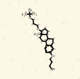 CC(C)CCCOc1ccc2c(c1)CCC1C2CCC2(C)C(OCCCOC(C(F)(F)F)(C(F)(F)F)C(F)(F)F)CCC12